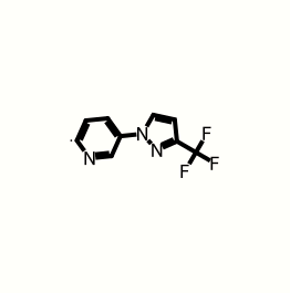 FC(F)(F)c1ccn(-c2cc[c]nc2)n1